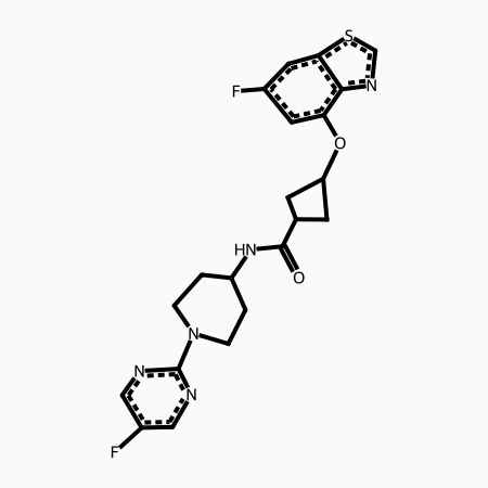 O=C(NC1CCN(c2ncc(F)cn2)CC1)C1CC(Oc2cc(F)cc3scnc23)C1